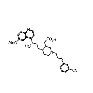 COc1ccc2nccc([C@@H](O)CC[C@@H]3CCN(CCSc4cccc(C#N)c4)C[C@@H]3CC(=O)O)c2c1